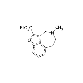 CCOC(=O)c1oc2cccc3c2c1CN(C)CC3